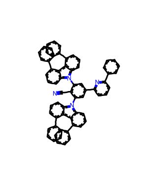 N#Cc1c(-n2c3cccc(-c4ccccc4)c3c3c(-c4ccccc4)cccc32)cc(-c2cccc(-c3ccccc3)n2)cc1-n1c2cccc(-c3ccccc3)c2c2c(-c3ccccc3)cccc21